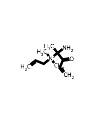 C=CC[N+](C)(C)C(C)(N)C(=O)C=C